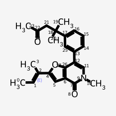 C/C=C(\C)c1cc2c(=O)n(C)cc(-c3cccc(C(C)(C)CC(C)=O)c3)c2o1